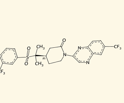 CC(C)([C@@H]1CCN(c2cnc3cc(C(F)(F)F)ccc3n2)C(=O)C1)S(=O)(=O)c1cccc(C(F)(F)F)c1